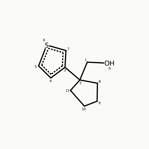 OCC1(c2ccsc2)CCCC1